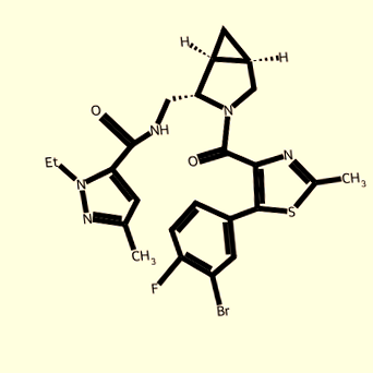 CCn1nc(C)cc1C(=O)NC[C@@H]1[C@H]2C[C@H]2CN1C(=O)c1nc(C)sc1-c1ccc(F)c(Br)c1